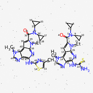 CCn1c(C(=O)N(C2CC2)C2CC2)cc2c3c(ncn3C)c(NC(N)=S)nc21.CCn1c(C(=O)N(C2CC2)C2CC2)cc2c3c(ncn3C)c(Nc3nc(C)cs3)nc21